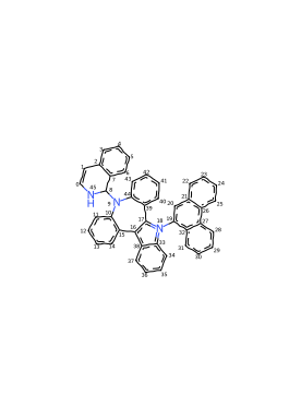 C1=Cc2ccccc2C(N2c3ccccc3-c3c(n(-c4cc5ccccc5c5ccccc45)c4ccccc34)-c3ccccc32)N1